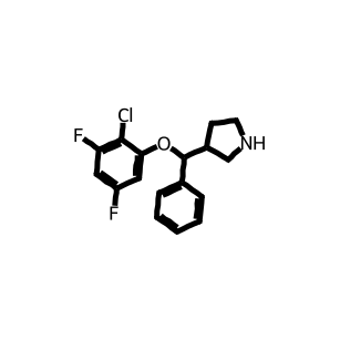 Fc1cc(F)c(Cl)c(OC(c2ccccc2)C2CCNC2)c1